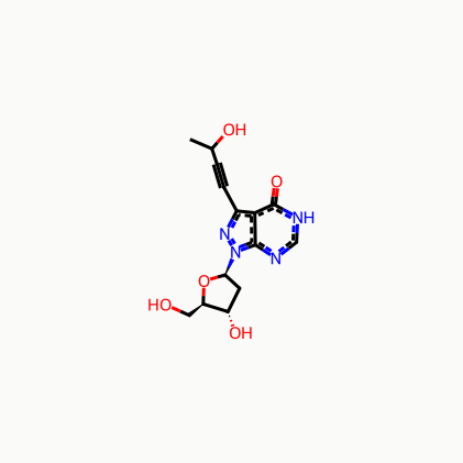 CC(O)C#Cc1nn([C@H]2C[C@H](O)[C@@H](CO)O2)c2nc[nH]c(=O)c12